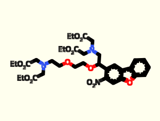 CCOC(=O)CN(CCOCCOC(CN(CC(=O)OCC)CC(=O)OCC)c1cc2c(cc1[N+](=O)[O-])oc1ccccc12)CC(=O)OCC